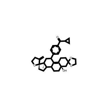 C=C1CCO[C@]12CCC1C3CC[C@@]4(O)CC5(CCC4=C3C(c3ccc(C(=O)C4CC4)cc3)C[C@@]12C)OCCO5